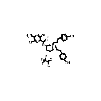 Nc1nc(N)c(C(=O)NC2CCC[N+](CCCc3ccc(O)cc3)(CCCc3ccc(O)cc3)C2)nc1Cl.O=C([O-])C(F)(F)F